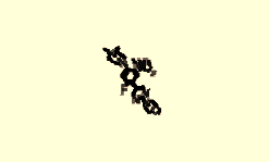 CC1CN(c2cc(F)c(-c3cnc(N4CCOCC4)nc3)cc2[N+](=O)[O-])CCN1C